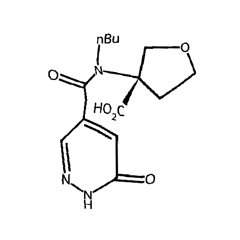 CCCCN(C(=O)c1cn[nH]c(=O)c1)[C@@]1(C(=O)O)CCOC1